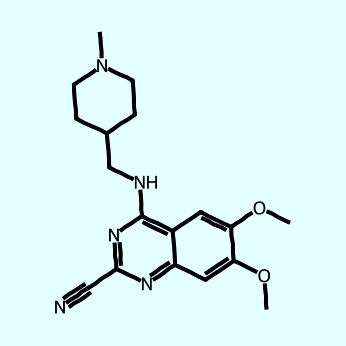 COc1cc2nc(C#N)nc(NCC3CCN(C)CC3)c2cc1OC